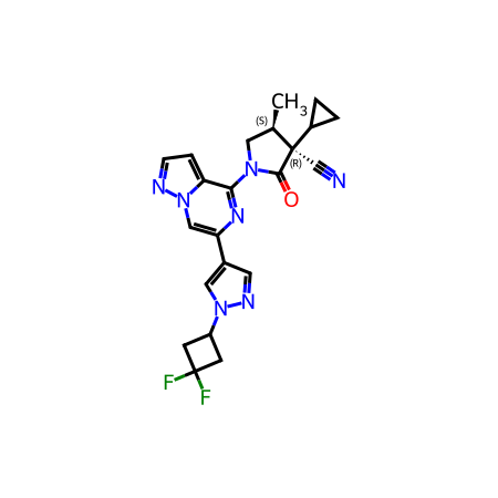 C[C@@H]1CN(c2nc(-c3cnn(C4CC(F)(F)C4)c3)cn3nccc23)C(=O)[C@]1(C#N)C1CC1